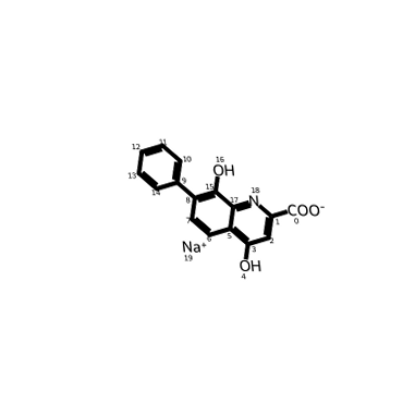 O=C([O-])c1cc(O)c2ccc(-c3ccccc3)c(O)c2n1.[Na+]